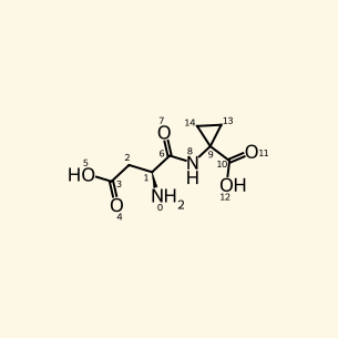 N[C@@H](CC(=O)O)C(=O)NC1(C(=O)O)CC1